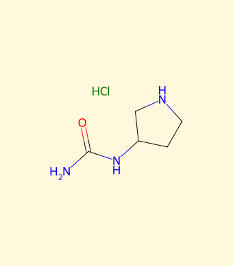 Cl.NC(=O)NC1CCNC1